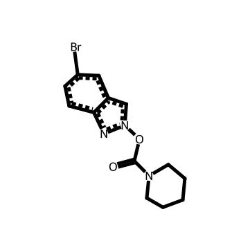 O=C(On1cc2cc(Br)ccc2n1)N1CCCCC1